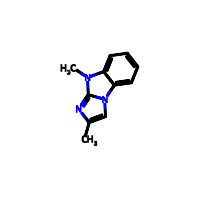 Cc1cn2c3ccccc3n(C)c2n1